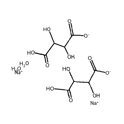 O.O.O=C([O-])C(O)C(O)C(=O)O.O=C([O-])C(O)C(O)C(=O)O.[Na+].[Na+]